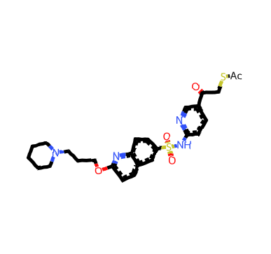 CC(=O)SCC(=O)c1ccc(NS(=O)(=O)c2ccc3nc(OCCCN4CCCCC4)ccc3c2)nc1